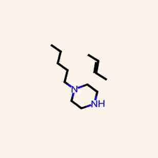 CC=CC.CCCCCN1CCNCC1